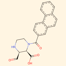 O=C[C@H]1NCCN(C(=O)c2ccc3c(ccc4ccccc43)c2)[C@H]1C(=O)O